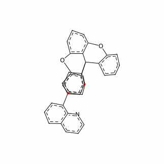 c1ccc(C23c4ccccc4Oc4cccc(c42)Oc2cc(-c4cccc5cccnc45)ccc23)cc1